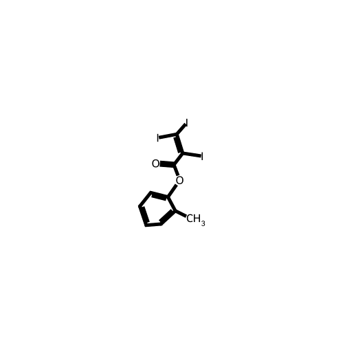 Cc1ccccc1OC(=O)C(I)=C(I)I